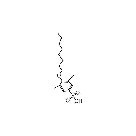 CCCCCCCCOc1c(C)cc(S(=O)(=O)O)cc1C